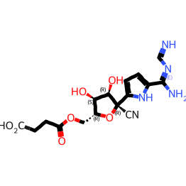 N#C[C@@]1(c2ccc(/C(N)=N\C=N)[nH]2)O[C@H](COC(=O)CCC(=O)O)[C@@H](O)[C@H]1O